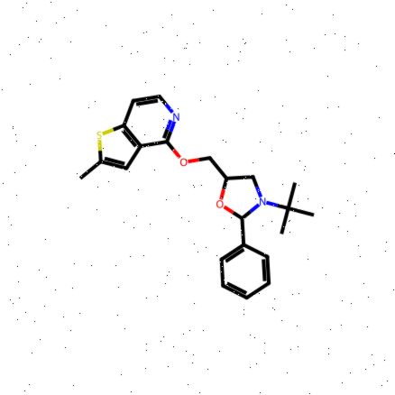 Cc1cc2c(OCC3CN(C(C)(C)C)C(c4ccccc4)O3)nccc2s1